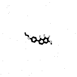 CCCOc1ccc(-c2ccc3cc(OC)c(F)c(F)c3c2F)cc1